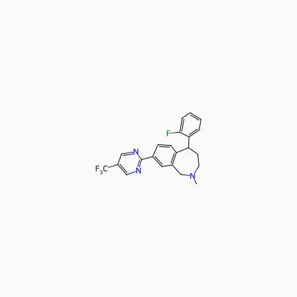 CN1CCC(c2ccccc2F)c2ccc(-c3ncc(C(F)(F)F)cn3)cc2C1